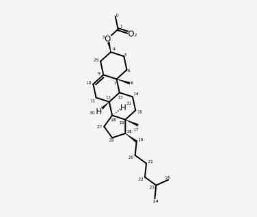 CC(=O)O[C@H]1CC[C@@]2(C)C(=CC[C@@H]3C2CC[C@]2(C)[C@@H](CCCCC(C)C)CC[C@@H]32)C1